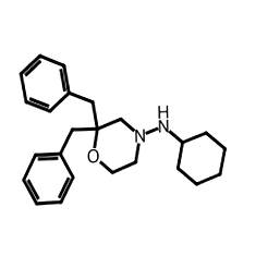 c1ccc(CC2(Cc3ccccc3)CN(NC3CCCCC3)CCO2)cc1